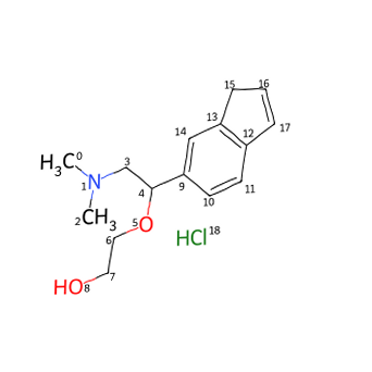 CN(C)CC(OCCO)c1ccc2c(c1)CC=C2.Cl